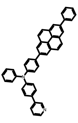 c1ccc(-c2cc3ccc4cc(-c5ccc(N(c6ccccc6)c6ccc(-c7cccnc7)cc6)cc5)cc5ccc(c2)c3c45)cc1